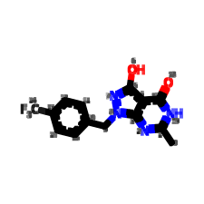 Cc1nc2c(c(O)nn2Cc2ccc(C(F)(F)F)cc2)c(=O)[nH]1